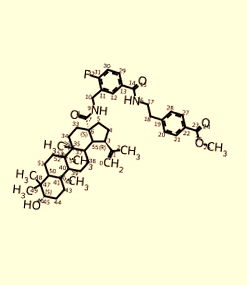 C=C(C)[C@@H]1CC[C@]2(C(=O)NCc3cc(C(=O)NCCc4ccc(C(=O)OC)cc4)ccc3F)CC[C@]3(C)C(CCC4[C@@]5(C)CC[C@H](O)C(C)(C)C5CC[C@]43C)C12